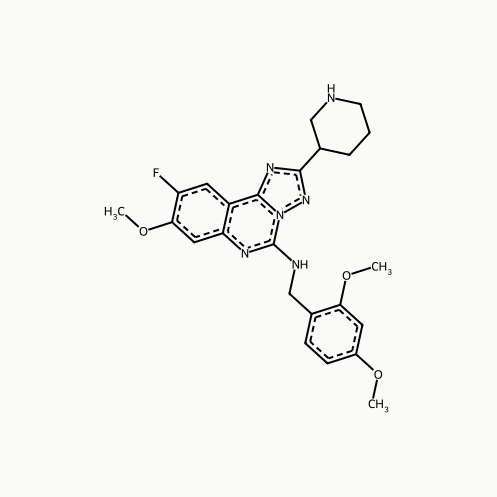 COc1ccc(CNc2nc3cc(OC)c(F)cc3c3nc(C4CCCNC4)nn23)c(OC)c1